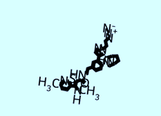 CNc1c(C(=O)NCCc2ccc(N3CC4CCC(C3)N4)c(-c3cnn(CCN=[N+]=[N-])c3)c2)sc2nc(C)ccc12